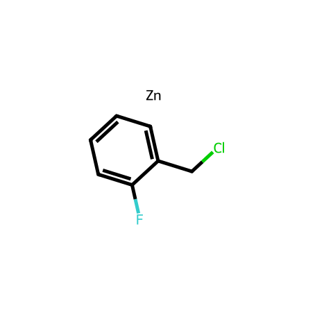 Fc1ccccc1CCl.[Zn]